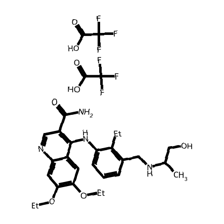 CCOc1cc2ncc(C(N)=O)c(Nc3cccc(CNC(C)CO)c3CC)c2cc1OCC.O=C(O)C(F)(F)F.O=C(O)C(F)(F)F